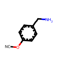 N#COc1ccc(CN)cc1